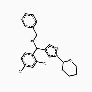 Clc1ccc(C(NCc2cccnc2)c2cnn(C3CCCCO3)c2)c(Cl)c1